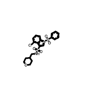 O=S(=O)(NCC1CCOCC1)c1cn(S(=O)(=O)c2ccccc2)c2cccc(Cl)c12